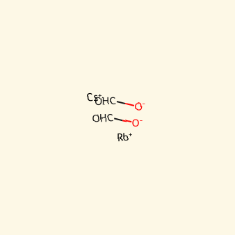 O=C[O-].O=C[O-].[Cs+].[Rb+]